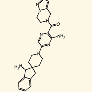 Nc1nc(N2CCC3(CC2)Cc2ccccc2[C@H]3N)cnc1C(=O)N1CCn2nccc2C1